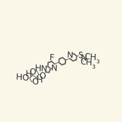 CN(C)Sc1ccc(-c2ccc(-c3nc4cc(O[C@@H]5CO[C@H]6[C@@H]5OC[C@H]6O)[nH]c4cc3F)cc2)nc1